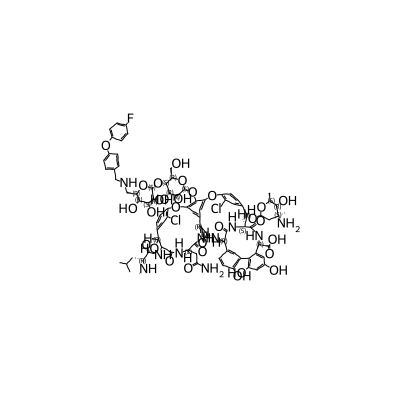 CN[C@H](CC(C)C)C(=O)NC1C(=O)N[C@@H](CC(N)=O)C(=O)N[C@H]2C(=O)N[C@H]3C(=O)N[C@H](C(=O)N[C@@H](C(=O)O)c4cc(O)cc(O)c4-c4cc3ccc4O)[C@H](OC3C[C@](C)(N)[C@@H](O)[C@H](C)O3)c3ccc(c(Cl)c3)Oc3cc2cc(c3O[C@@H]2O[C@H](CO)[C@@H](O[C@@H]3O[C@H](CNCc4ccc(Oc5ccc(F)cc5)cc4)[C@H](O)[C@H](O)[C@H]3O)[C@H](O)[C@H]2O)Oc2ccc(cc2Cl)[C@H]1O